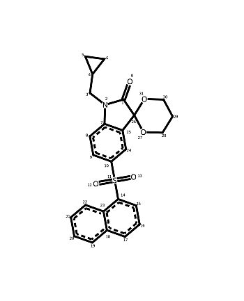 O=C1N(CC2CC2)c2ccc(S(=O)(=O)c3cccc4ccccc34)cc2C12OCCCO2